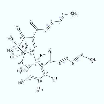 C/C=C/C=C/C(=O)C1=C[C@@]2(C)[C@H]3C(C(=O)/C=C/C=C/C)=C(O)C(C)=C(O)[C@@]3(C)O[C@@]2(O)[C@@](C)(O)C1=O